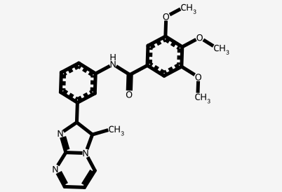 COc1cc(C(=O)Nc2cccc(C3N=C4N=CC=CN4C3C)c2)cc(OC)c1OC